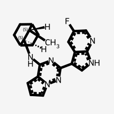 C[C@H]1C2CCC(CC2)[C@@H]1Nc1nc(-c2c[nH]c3ncc(F)cc23)nn2cccc12